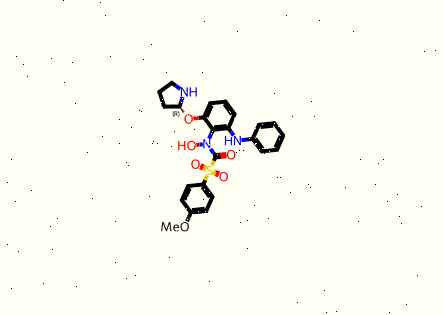 COc1ccc(S(=O)(=O)C(=O)N(O)c2c(Nc3ccccc3)cccc2O[C@@H]2CCCN2)cc1